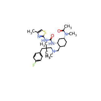 CC(=O)N(C)[C@@H]1CC[C@@H](CN(C)CC(C)(C)Cc2ccc(F)cc2)[C@H](NC(=O)Nc2nc(C)cs2)C1